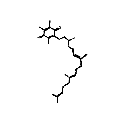 CC(C)=CCC/C(C)=C/CC/C(C)=C/CCC(C)CCC1=C(C)C(=O)C(C)=C(C)C1=O